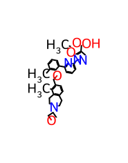 CCOc1c(C(=O)O)cnn1-c1cccc(-c2cccc(C)c2OCc2ccc3c(c2C)CCN(C2COC2)CC3)n1